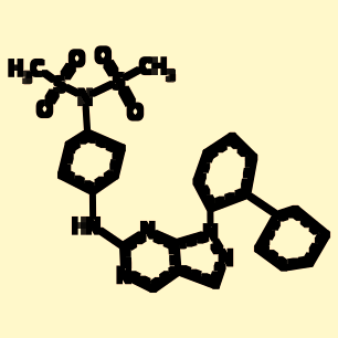 CS(=O)(=O)N(c1ccc(Nc2ncc3cnn(-c4ccccc4-c4ccccc4)c3n2)cc1)S(C)(=O)=O